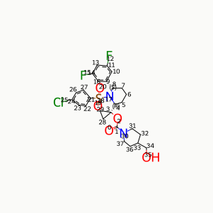 O=C(OC1([C@H]2CCC[C@@H](c3cc(F)cc(F)c3)N2S(=O)(=O)c2ccc(Cl)cc2)CC1)N1CCC(CO)CC1